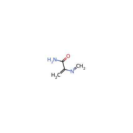 C=NC(=C)C(N)=O